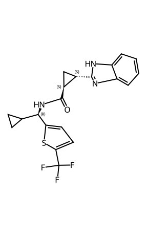 O=C(N[C@@H](c1ccc(C(F)(F)F)s1)C1CC1)[C@H]1C[C@@H]1c1nc2ccccc2[nH]1